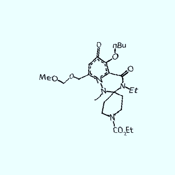 CCCCOc1c2n(c(COCOC)cc1=O)N(C)C1(CCN(C(=O)OCC)CC1)N(CC)C2=O